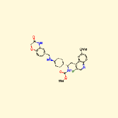 COc1ccc2ncc(F)c(CC(NC(=O)OC(C)(C)C)[C@H]3CC[C@H](NCc4ccc5c(c4)NC(=O)CO5)CC3)c2c1